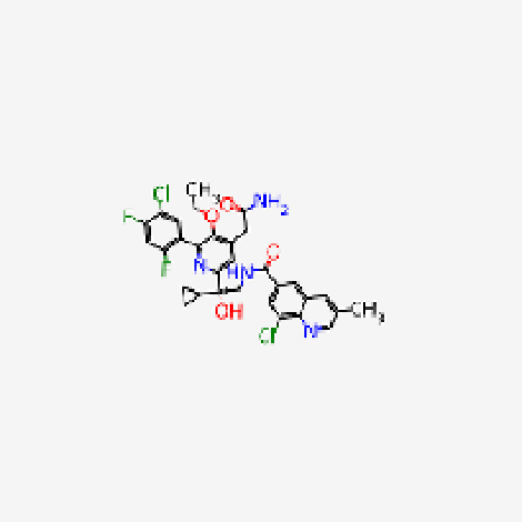 CCOc1c(CC(N)=O)cc([C@@](O)(CNC(=O)c2cc(Cl)c3ncc(C)cc3c2)C2CC2)nc1-c1cc(Cl)c(F)cc1F